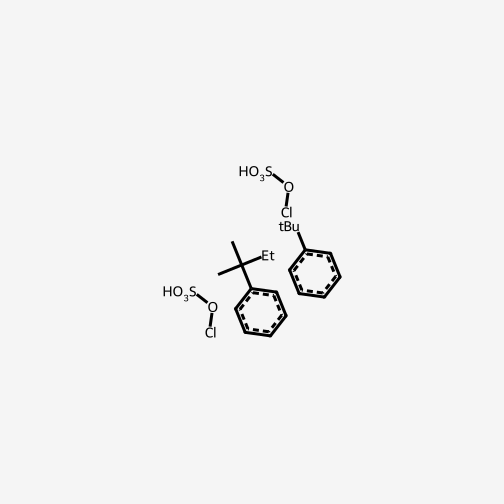 CC(C)(C)c1ccccc1.CCC(C)(C)c1ccccc1.O=S(=O)(O)OCl.O=S(=O)(O)OCl